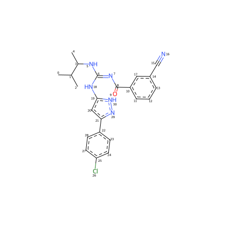 CC(C)C(C)N/C(=N/C(=O)c1cccc(C#N)c1)Nc1cc(-c2ccc(Cl)cc2)n[nH]1